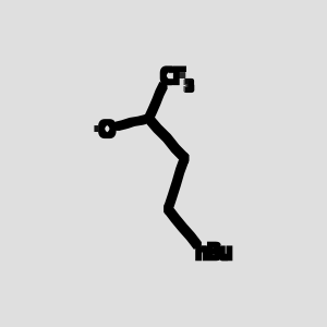 CCCCCCC([O])C(F)(F)F